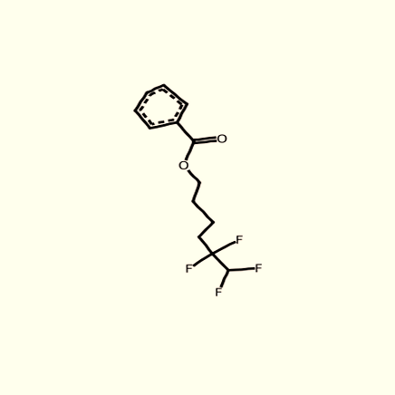 O=C(OCCCCC(F)(F)C(F)F)c1ccccc1